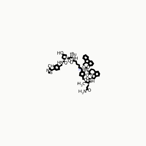 Cc1ncsc1-c1ccc(CNC(=O)[C@@H]2C[C@@H](O)CN2C(=O)[C@@H](NC(=O)CCC/C=C/c2ccc(CO[C@H](C)[C@H](CCC(N)=O)NC(=O)[C@@H]3Cc4cccc5c4N3C(=O)[C@@H](NC(=O)OCC3c4ccccc4-c4ccccc43)CC5)cc2)C(C)(C)C)cc1